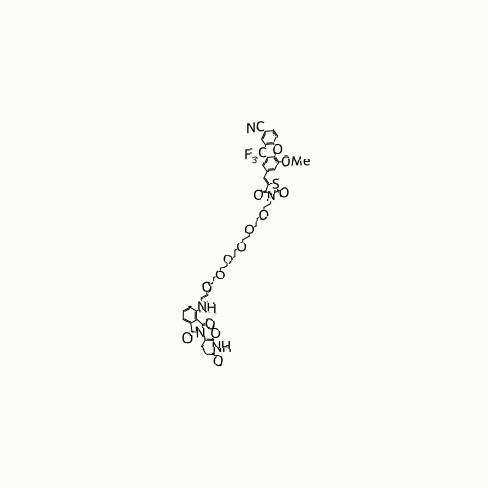 COc1cc(/C=C2\SC(=O)N(CCOCCOCCOCCOCCOCCOCCNc3cccc4c3C(=O)N(C3CCC(=O)NC3=O)C4=O)C2=O)ccc1Oc1ccc(C#N)cc1C(F)(F)F